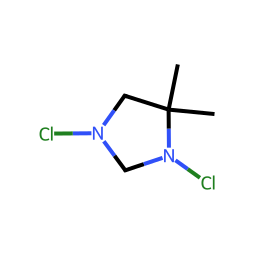 CC1(C)CN(Cl)CN1Cl